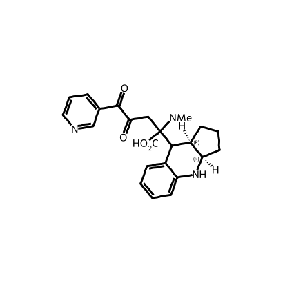 CNC(CC(=O)C(=O)c1cccnc1)(C(=O)O)C1c2ccccc2N[C@@H]2CCC[C@H]12